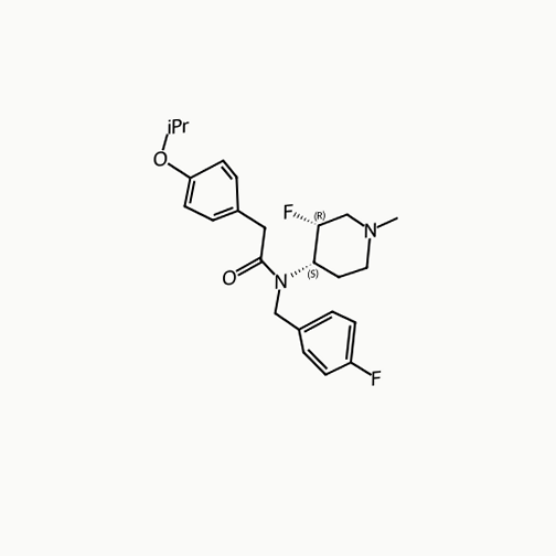 CC(C)Oc1ccc(CC(=O)N(Cc2ccc(F)cc2)[C@H]2CCN(C)C[C@H]2F)cc1